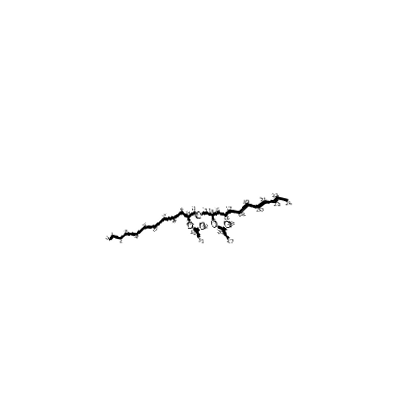 CCCCCCCCCCC(COCC(CCCCCCCCCC)OC(C)=O)OC(C)=O